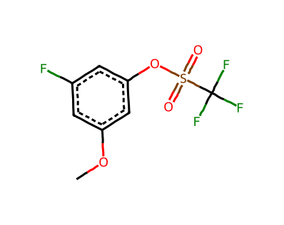 COc1cc(F)cc(OS(=O)(=O)C(F)(F)F)c1